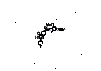 CNc1cc(C)c(/C=C/[S+]([O-])N2CCC3(CC2)N=C(C2CCC(C)CC2)NC3=O)c(OC)c1